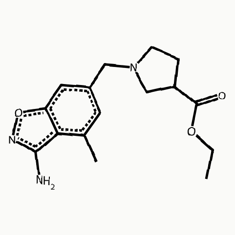 CCOC(=O)C1CCN(Cc2cc(C)c3c(N)noc3c2)C1